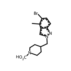 Cc1c(Br)ccc2nn(CC3CCN(C(=O)O)CC3)cc12